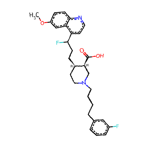 COc1ccc2nccc(C(F)CC[C@@H]3CCN(CCCCc4cccc(F)c4)C[C@@H]3C(=O)O)c2c1